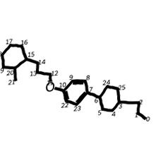 CCCC1CCC(c2ccc(OCCCC3CCCCC3C)cc2)CC1